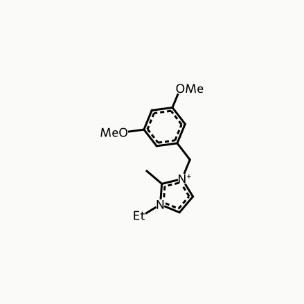 CCn1cc[n+](Cc2cc(OC)cc(OC)c2)c1C